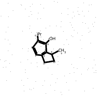 CC(C)c1ccc2c(c1O)C(C)CC2